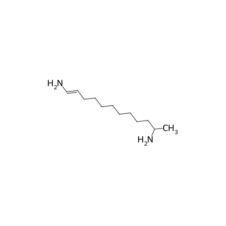 CC(N)CCCCCCCCC=CN